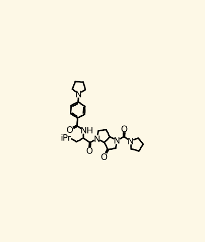 CC(C)CC(NC(=O)c1ccc(N2CCCC2)cc1)C(=O)N1CCC2C1C(=O)CN2C(=O)N1CCCC1